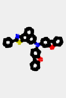 c1ccc(-c2nc3c(s2)-c2cc(N(c4ccc5c(c4)oc4ccccc45)c4ccc5c(c4)oc4ccccc45)cc4cccc-3c24)cc1